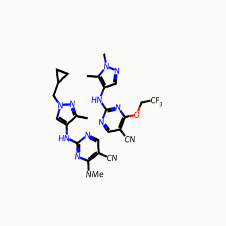 CNc1nc(Nc2cn(CC3CC3)nc2C)ncc1C#N.Cc1c(Nc2ncc(C#N)c(OCC(F)(F)F)n2)cnn1C